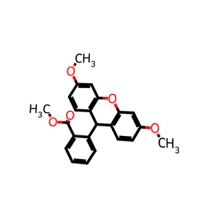 COC(=O)c1ccccc1C1c2ccc(OC)cc2Oc2cc(OC)ccc21